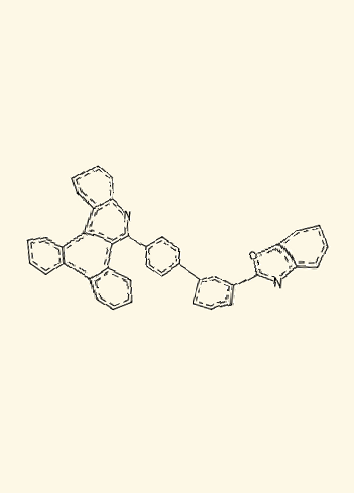 c1cc(-c2ccc(-c3nc4ccccc4c4c5ccccc5c5ccccc5c34)cc2)cc(-c2nc3ccccc3o2)c1